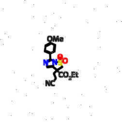 CCOC(=O)C1(CCC#N)CS(=O)(=O)n2c1cnc2-c1ccc(OC)cc1